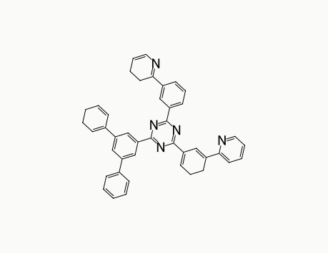 C1=CC(c2cc(-c3ccccc3)cc(-c3nc(C4=CCCC(c5ccccn5)=C4)nc(-c4cccc(C5=NC=CCC5)c4)n3)c2)=CCC1